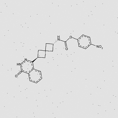 O=C(N[C@H]1CC2(C1)C[C@H](c1n[nH]c(=O)c3ccccc31)C2)Oc1ccc([N+](=O)[O-])cc1